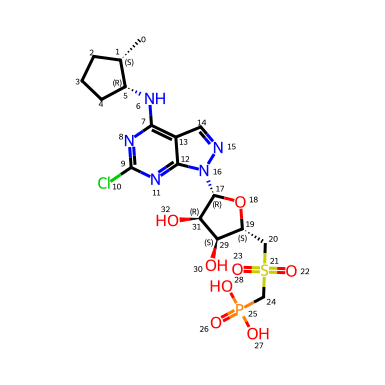 C[C@H]1CCC[C@H]1Nc1nc(Cl)nc2c1cnn2[C@@H]1O[C@H](CS(=O)(=O)CP(=O)(O)O)[C@@H](O)[C@H]1O